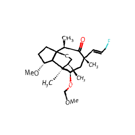 COCO[C@@H]1C[C@@](C)(C=CF)C(=O)[C@H](C)C23CC[C@@H](C)[C@]1(C)C2[C@H](OC)CC3